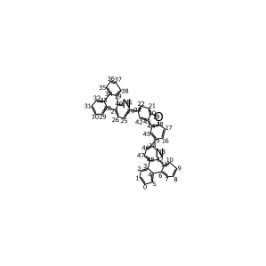 c1ccc2c(c1)c1ccccc1c1nc(-c3ccc4oc5ccc(-c6ccc7c8ccccc8c8ccccc8c7n6)cc5c4c3)ccc21